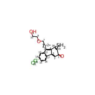 O=C1C=C2C(=[C]([Zr+2][CH2]OCCO)c3ccccc32)C2=C1[SiH2]2.[Cl-].[Cl-]